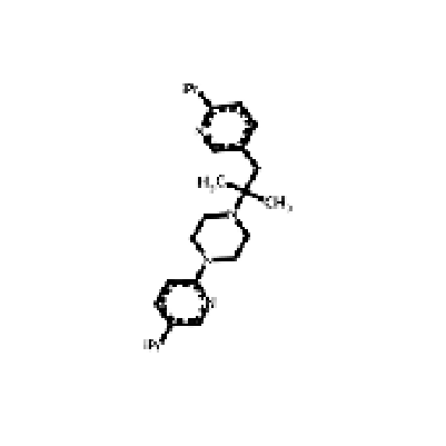 CC(C)c1ccc(N2CCN(C(C)(C)Cc3ccc(C(C)C)nc3)CC2)nc1